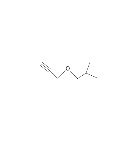 C#CCOCC(C)C